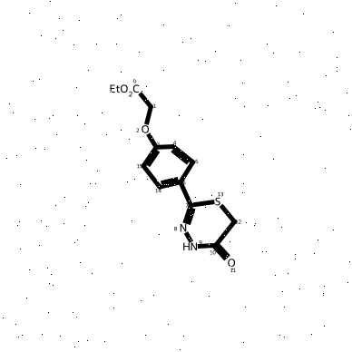 CCOC(=O)COc1ccc(C2=NNC(=O)CS2)cc1